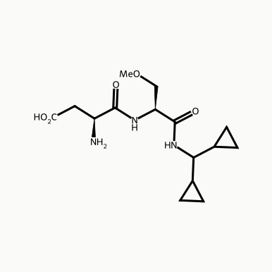 COC[C@H](NC(=O)[C@@H](N)CC(=O)O)C(=O)NC(C1CC1)C1CC1